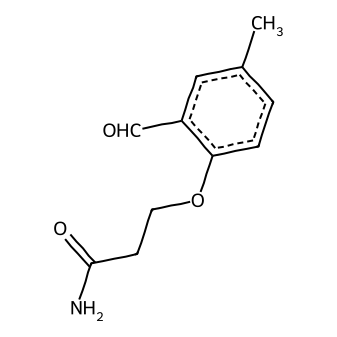 Cc1ccc(OCCC(N)=O)c(C=O)c1